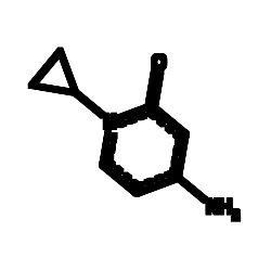 Nc1ccn(C2CC2)c(=O)c1